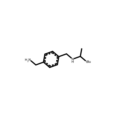 CC(NCc1ccc(CN)cc1)C(C)(C)C